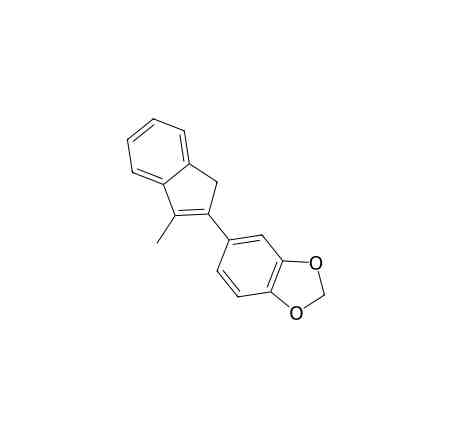 CC1=C(c2ccc3c(c2)OCO3)Cc2ccccc21